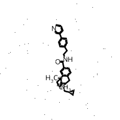 C[C@H]1C2Cc3ccc(C(=O)NCCc4ccc(-c5cccnc5)cc4)cc3[C@@]1(C)CCN2CC1CC1